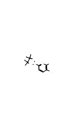 CC1(C)OB(c2ccc(N)c(Cl)n2)OC1(C)C